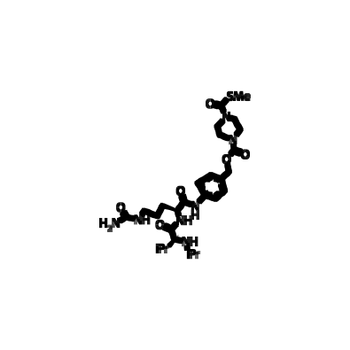 CSC(=O)N1CCN(C(=O)OCc2ccc(NC(=O)[C@H](CCCNC(N)=O)NC(=O)[C@@H](NC(C)C)C(C)C)cc2)CC1